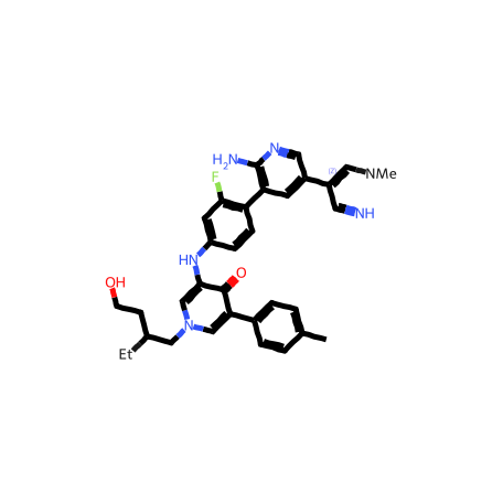 CCC(CCO)Cn1cc(Nc2ccc(-c3cc(/C(C=N)=C/NC)cnc3N)c(F)c2)c(=O)c(-c2ccc(C)cc2)c1